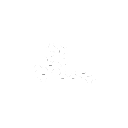 c1ccc(-c2ccccc2-c2ccc(N(c3cccc(-c4ccc(-c5ccc6ccccc6c5)cc4)c3)c3cccc4c3-c3ccccc3C4(c3ccccc3)c3ccccc3)cc2)cc1